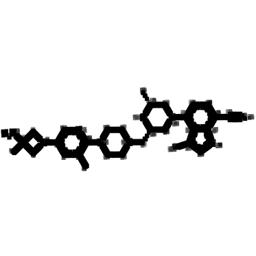 Cc1cc(N2CC(C)(N)C2)cnc1N1CCN(C[C@H]2CN(c3ccc(C#N)n4ncc(F)c34)C[C@@H](C)O2)CC1